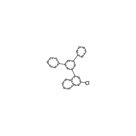 Clc1cc(-c2cc(-c3ccccc3)cc(-c3ccccc3)c2)c2ccccc2c1